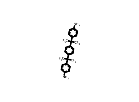 Nc1ccc(C(c2ccc(C(c3ccc(N)cc3)(C(F)(F)F)C(F)(F)F)cc2)(C(F)(F)F)C(F)(F)F)cc1